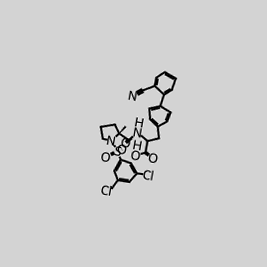 C[C@]1(C(=O)NC(Cc2ccc(-c3ccccc3C#N)cc2)C(=O)O)CCCN1S(=O)(=O)c1cc(Cl)cc(Cl)c1